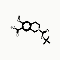 COc1cc2c(cc1C(=O)O)CN(C(=O)OC(C)(C)C)CC2